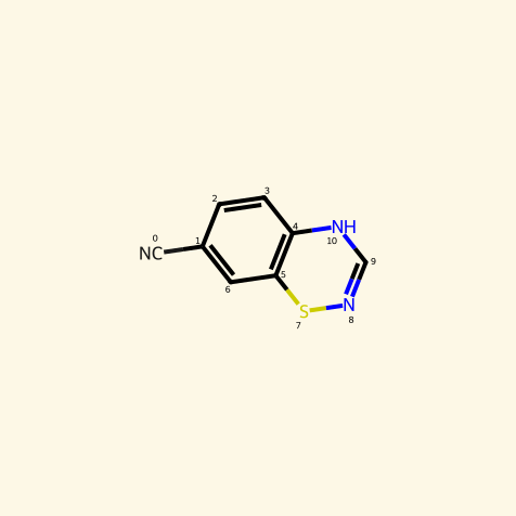 N#Cc1ccc2c(c1)SN=CN2